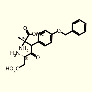 COC(=O)[C@@](C)(N)C(C(=O)[C@@H](N)CC(=O)O)c1ccc(OCc2ccccc2)cc1